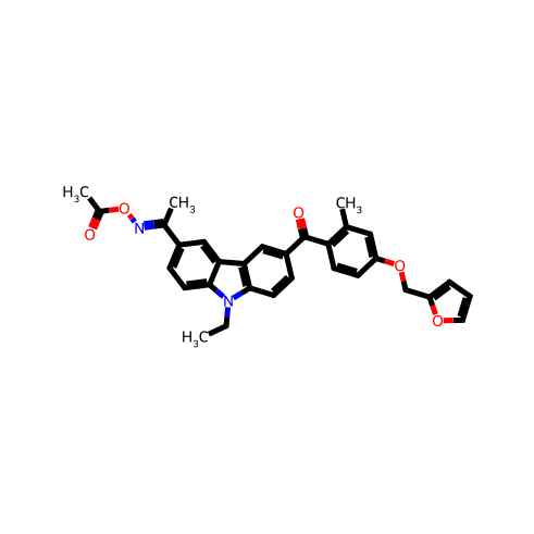 CCn1c2ccc(C(=O)c3ccc(OCc4ccco4)cc3C)cc2c2cc(/C(C)=N/OC(C)=O)ccc21